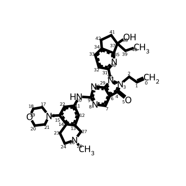 C=CCn1c(=O)c2cnc(Nc3cc4c(c(N5CCOCC5)c3)CCN(C)C4)nc2n1-c1ccc2c(n1)C(O)(CC)CC2